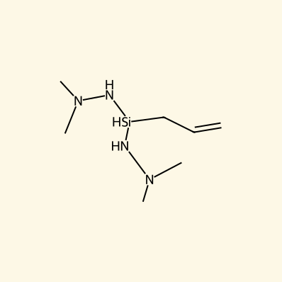 C=CC[SiH](NN(C)C)NN(C)C